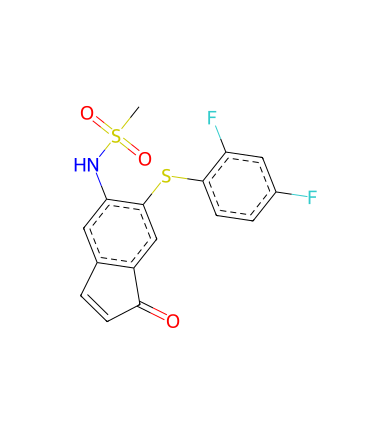 CS(=O)(=O)Nc1cc2c(cc1Sc1ccc(F)cc1F)C(=O)C=C2